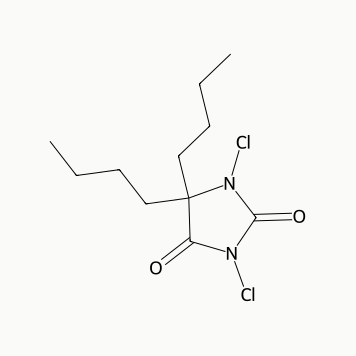 CCCCC1(CCCC)C(=O)N(Cl)C(=O)N1Cl